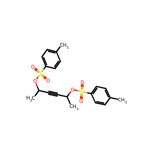 Cc1ccc(S(=O)(=O)OC(C)C#CC(C)OS(=O)(=O)c2ccc(C)cc2)cc1